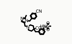 CCOC(=O)C1(Cc2cccc(NS(C)(=O)=O)c2)CCN(Cc2cnc(C)n2Cc2ccc(C#N)cc2)CC1